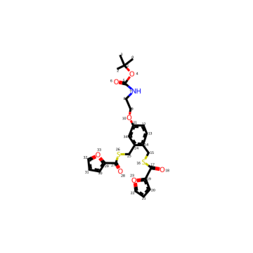 CC(C)(C)OC(=O)NCCOc1ccc(CSC(=O)c2ccco2)c(CSC(=O)c2ccco2)c1